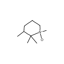 CC1CCC[N+](C)([O])C1(C)C